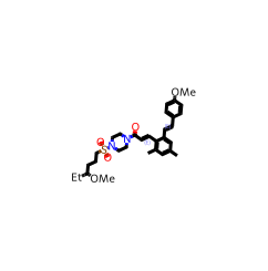 CCC(CCCS(=O)(=O)N1CCN(C(=O)/C=C/c2c(C)cc(C)cc2/C=C/c2ccc(OC)cc2)CC1)OC